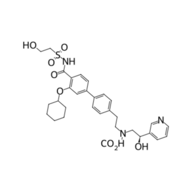 O=C(NS(=O)(=O)CCO)c1ccc(-c2ccc(CCN(C[C@H](O)c3cccnc3)C(=O)O)cc2)cc1OC1CCCCC1